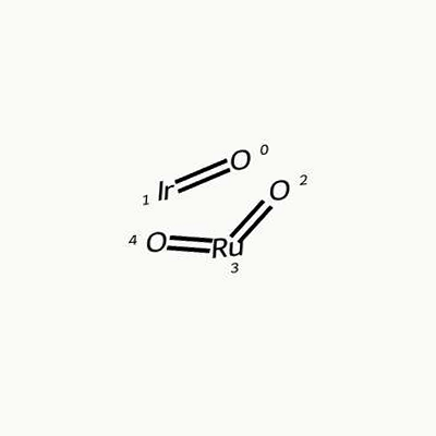 [O]=[Ir].[O]=[Ru]=[O]